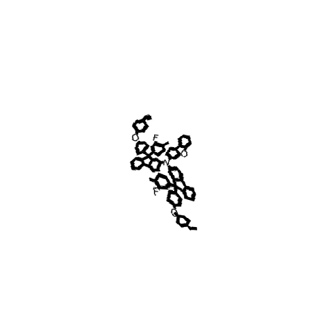 C=Cc1ccc(Oc2ccc(C3(c4ccc(C)c(F)c4)c4ccccc4-c4ccc(N(c5ccc6c(c5)C(c5ccc(Oc7ccc(C=C)cc7)cc5)(c5ccc(C)c(F)c5)c5ccccc5-6)c5ccc6c(c5)oc5ccccc56)cc43)cc2)cc1